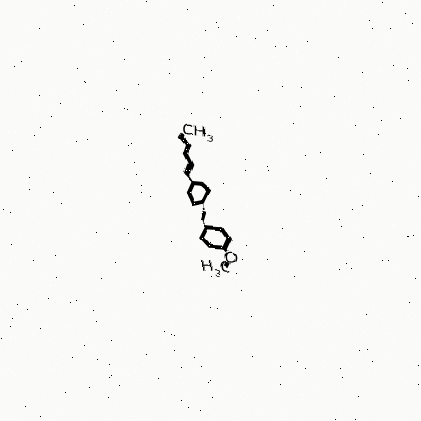 CCCC/C=C/[C@H]1CC[C@H](CC[C@H]2CC[C@H](OC)CC2)CC1